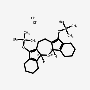 CC(C)(C)[Si](C)(C)OC1=C2CCC3=C(O[Si](C)(C)C(C)(C)C)C4=C(CCCC4)[C@@H]3[Zr+2][C@@H]2C2=C1CCCC2.[Cl-].[Cl-]